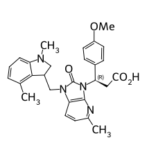 COc1ccc([C@@H](CC(=O)O)n2c(=O)n(CC3CN(C)c4cccc(C)c43)c3ccc(C)nc32)cc1